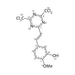 COc1ccc(C=Cc2nc(C(Cl)(Cl)Cl)nc(C(Cl)(Cl)Cl)n2)cc1O